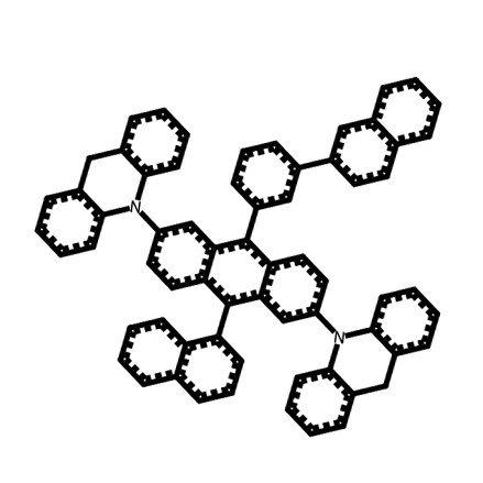 c1cc(-c2ccc3ccccc3c2)cc(-c2c3cc(N4c5ccccc5Cc5ccccc54)ccc3c(-c3cccc4ccccc34)c3cc(N4c5ccccc5Cc5ccccc54)ccc23)c1